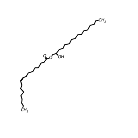 CCCCCCCC/C=C\CCCCCCCC(=O)OCC(O)CCCCCCCCCCCCCC